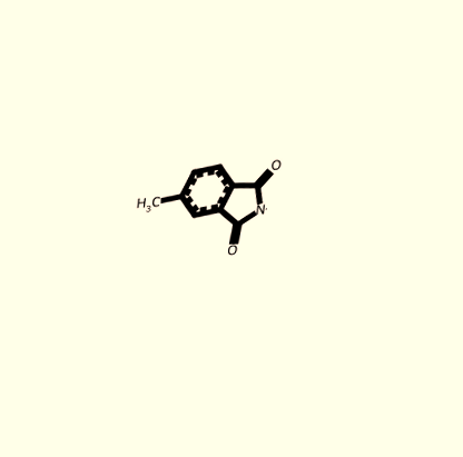 Cc1ccc2c(c1)C(=O)[N]C2=O